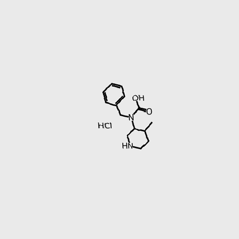 CC1CCNCC1N(Cc1ccccc1)C(=O)O.Cl